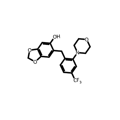 Oc1cc2c(cc1Cc1ccc(C(F)(F)F)cc1N1CCOCC1)OCO2